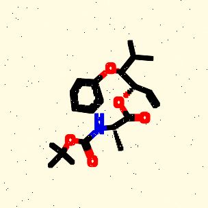 C=C[C@H](OC(=O)[C@H](C)NC(=O)OC(C)(C)C)[C@H](Oc1ccccc1)C(C)C